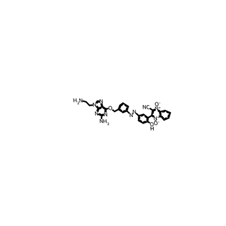 N#Cc1c(-c2cc(/N=N/c3cccc(COc4nc(N)nc5c4ncn5CCN)c3)ccc2O)[n+]([O-])c2ccccc2[n+]1[O-]